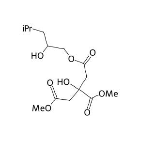 COC(=O)CC(O)(CC(=O)OCC(O)CC(C)C)C(=O)OC